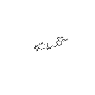 COc1ccc(CCNC(=S)CCCc2nnnn2C)cc1OC